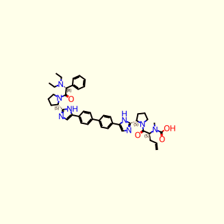 C=CC[C@@H](C(=O)N1CCC[C@H]1c1ncc(-c2ccc(-c3ccc(-c4cnc([C@@H]5CCCN5C(=O)[C@@H](c5ccccc5)N(CC)CC)[nH]4)cc3)cc2)[nH]1)N(C)C(=O)O